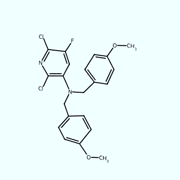 COc1ccc(CN(Cc2ccc(OC)cc2)c2cc(F)c(Cl)nc2Cl)cc1